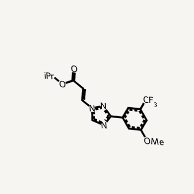 COc1cc(-c2ncn(C=CC(=O)OC(C)C)n2)cc(C(F)(F)F)c1